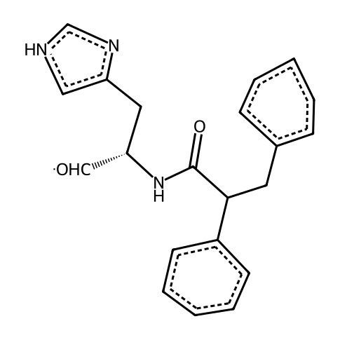 O=[C][C@H](Cc1c[nH]cn1)NC(=O)C(Cc1ccccc1)c1ccccc1